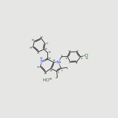 Cc1c(C)n(Cc2ccc(Cl)cc2)c2c(Cc3ccccc3)nccc12.Cl